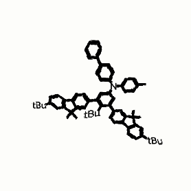 Cc1ccc(N(c2ccc(-c3ccccc3)cc2)c2cc(-c3ccc4c(c3)C(C)(C)c3cc(C(C)(C)C)ccc3-4)c(C(C)(C)C)c(-c3ccc4c(c3)C(C)(C)c3cc(C(C)(C)C)ccc3-4)c2)cc1